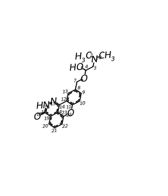 CN(C)CC(O)OCc1ccc2c(c1)-c1n[nH]c(=O)c3cccc(c13)O2